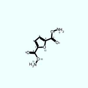 NOC(=O)c1ccc(C(=O)ON)o1